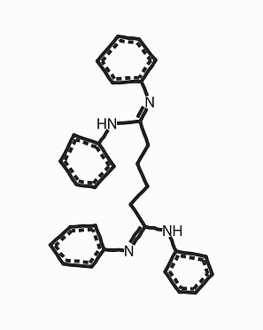 c1ccc(/N=C(/CCCC/C(=N\c2ccccc2)Nc2ccccc2)Nc2ccccc2)cc1